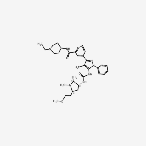 CCN1CCC(NC(=O)c2cc(-c3nn(-c4ccccc4)c(NC(=O)N[C@@H]4C[C@@H](CCOC)N(C)[C@H]4C)c3C)ccn2)CC1